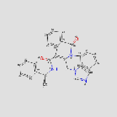 CC[C@H](NC(=O)c1c(Cn2ccnc2)n(-c2ccccc2)c(=O)c2ccccc12)c1ccccc1